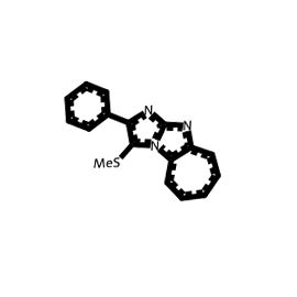 CSc1c(-c2ccccc2)nc2nc3cccccc3n12